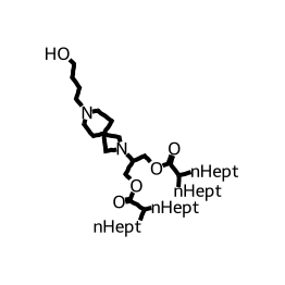 CCCCCCCC(CCCCCCC)C(=O)OCC(COC(=O)C(CCCCCCC)CCCCCCC)N1CC2(CCN(CCCCO)CC2)C1